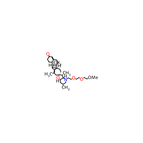 COCCOCCOCCN1C[C@@H](C)C[C@H]2O[C@]3(CC[C@@H]4C(=C(C)C3)C[C@H]3[C@H]4CCC4=CC(=O)CC[C@@]43C)[C@H](C)[C@@H]21